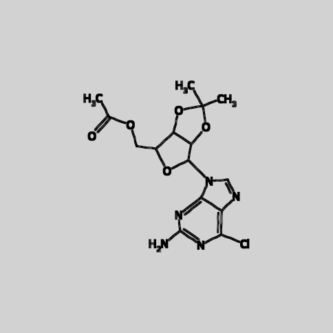 CC(=O)OCC1OC(n2cnc3c(Cl)nc(N)nc32)C2OC(C)(C)OC12